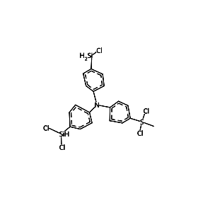 CS(Cl)(Cl)c1ccc(N(c2ccc([SiH2]Cl)cc2)c2ccc([SiH](Cl)Cl)cc2)cc1